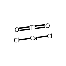 [Cl][Ca][Cl].[O]=[Ti]=[O]